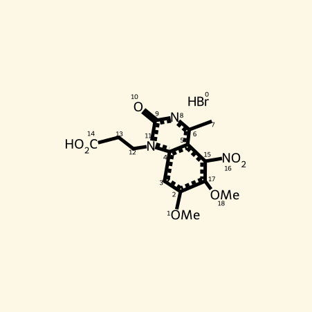 Br.COc1cc2c(c(C)nc(=O)n2CCC(=O)O)c([N+](=O)[O-])c1OC